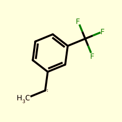 C[C]c1cccc(C(F)(F)F)c1